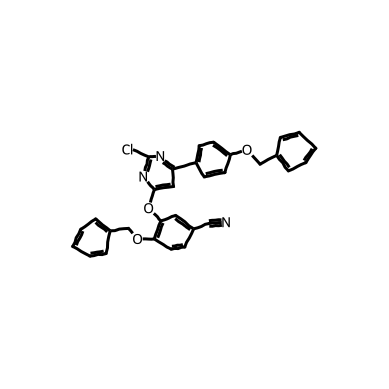 N#Cc1ccc(OCc2ccccc2)c(Oc2cc(-c3ccc(OCc4ccccc4)cc3)nc(Cl)n2)c1